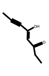 CC#CC(O)=CC(=O)CC